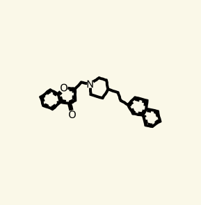 O=c1cc(CN2CCC(CCc3ccc4ccccc4c3)CC2)oc2ccccc12